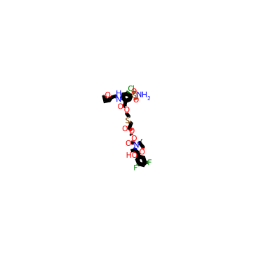 CC1N(C(=O)OCOC(=O)CSCCOC(=O)c2cc(S(N)(=O)=O)c(Cl)cc2NCc2ccco2)[C@H](C)COC1(O)c1cc(F)cc(F)c1